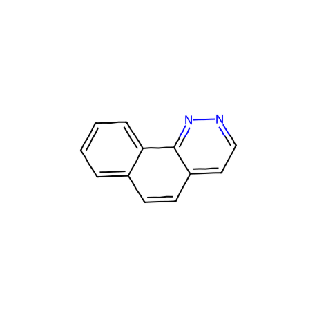 c1ccc2c(c1)ccc1ccnnc12